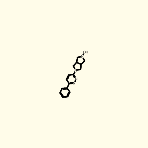 ON1CC2CN(c3ccc(-c4ccccc4)nn3)CC2C1